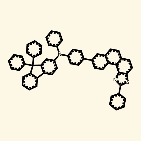 c1ccc(-c2nc3c(ccc4ccc5cc(-c6ccc(N(c7ccccc7)c7ccc8c(c7)C(c7ccccc7)(c7ccccc7)c7ccccc7-8)cc6)ccc5c43)s2)cc1